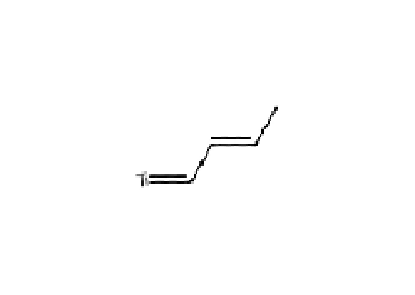 CC=C[CH]=[Ti]